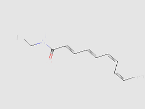 CCC\C=C/C=C\C=C\C=C\C(=O)NCC(C)C